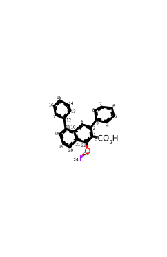 O=C(O)c1c(-c2ccccc2)cc2c(-c3ccccc3)cccc2c1OI